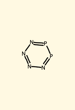 n1nnppn1